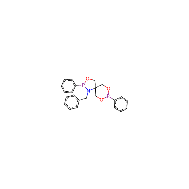 c1ccc(CN2P(c3ccccc3)OCC23COP(c2ccccc2)OC3)cc1